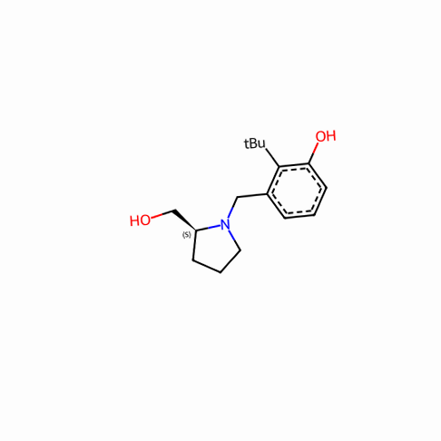 CC(C)(C)c1c(O)cccc1CN1CCC[C@H]1CO